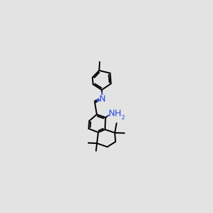 Cc1ccc(N=Cc2ccc3c(c2N)C(C)(C)CCC3(C)C)cc1